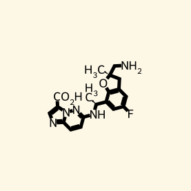 C[C@@H](Nc1ccc2ncc(C(=O)O)n2n1)c1cc(F)cc2c1O[C@@](C)(CN)C2